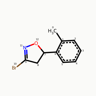 Cc1ccccc1C1CC(Br)=NO1